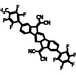 Cc1c(F)c(F)c(-c2ccc3c(c2)C(=C(C#N)C#N)C2=CC4c5ccc(-c6c(F)c(F)c(F)c(F)c6F)cc5C(=C(C#N)C#N)C4C=C23)c(F)c1F